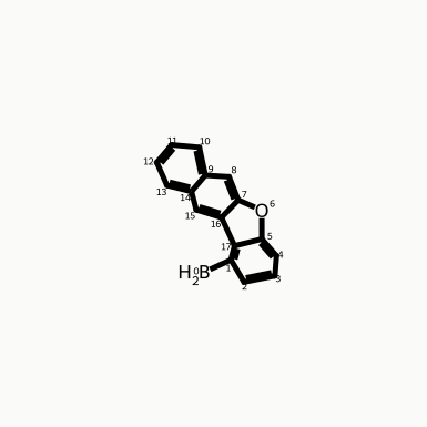 Bc1cccc2oc3cc4ccccc4cc3c12